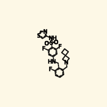 O=S(=O)(Nc1cscn1)c1c(F)cc(NCc2c(F)cccc2CN2CC3(CCC3)C2)cc1F